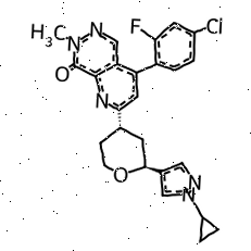 Cn1ncc2c(-c3ccc(Cl)cc3F)cc([C@H]3CCO[C@H](c4cnn(C5CC5)c4)C3)nc2c1=O